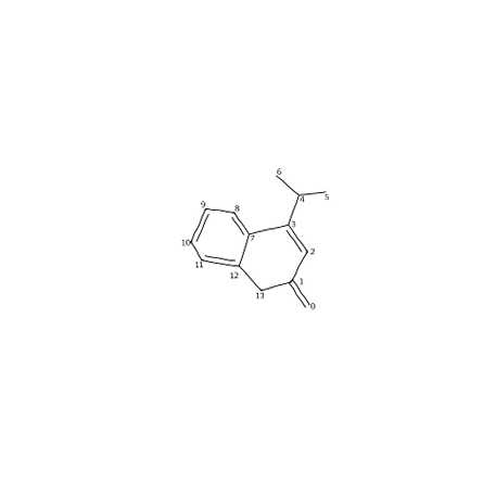 C=C1C=C(C(C)C)c2ccccc2C1